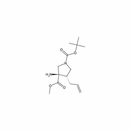 C=CC[C@H]1CN(C(=O)OC(C)(C)C)C[C@@]1(N)C(=O)OC